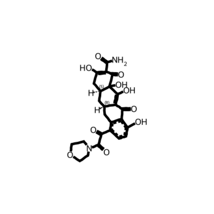 NC(=O)C1=C(O)C[C@@H]2C[C@@H]3Cc4c(C(=O)C(=O)N5CCOCC5)ccc(O)c4C(=O)C3=C(O)C2(O)C1=O